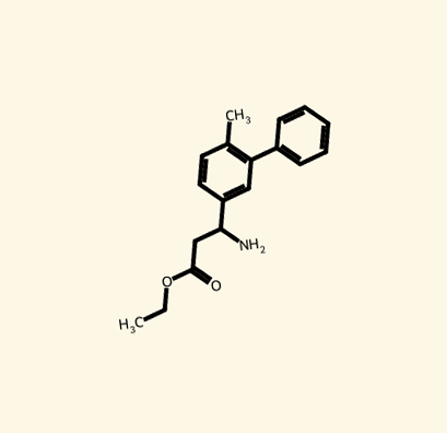 CCOC(=O)CC(N)c1ccc(C)c(-c2ccccc2)c1